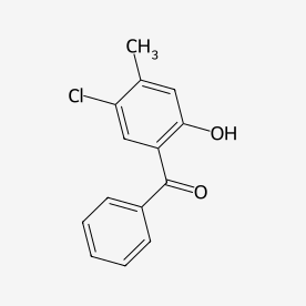 Cc1cc(O)c(C(=O)c2ccccc2)cc1Cl